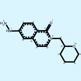 NNc1ccc2c(=O)n(CC3CCCCO3)ccc2c1